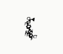 O=C(C1CC1)N1CC(F)(c2ccc(C3=NOC(c4ccc(F)c(Cl)c4)(C(F)(F)F)C3)cc2)C1